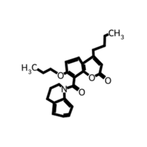 CCCCc1cc(=O)oc2c(C(=O)N3CCCc4ccccc43)c(OCCC)ccc12